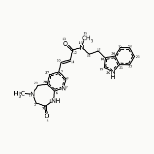 CN1CC(=O)Nc2ncc(C=CC(=O)N(C)CCc3c[nH]c4ccccc34)cc2C1